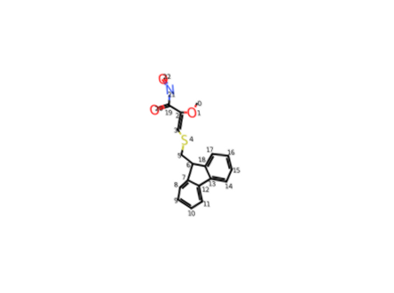 CO/C(=C\SCC1c2ccccc2-c2ccccc21)C(=O)N=O